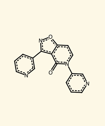 O=c1c2c(-c3cccnc3)noc2ccn1-c1cccnc1